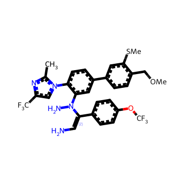 COCc1ccc(-c2ccc(-n3cc(C(F)(F)F)nc3C)c(N(N)/C(=C\N)c3ccc(OC(F)(F)F)cc3)c2)cc1SC